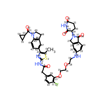 Cc1sc(NC(=O)Cc2ccc(F)c(OCCOCCNc3ccc4c(c3)CN(C3CCC(=O)NC3=O)C4=O)c2)nc1-c1ccc2c(c1)CCN2C(=O)C1CC1